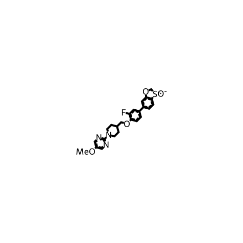 COc1cnc(N2CCC(COc3ccc(-c4ccc5c(c4)OC[S@+]5[O-])cc3F)CC2)nc1